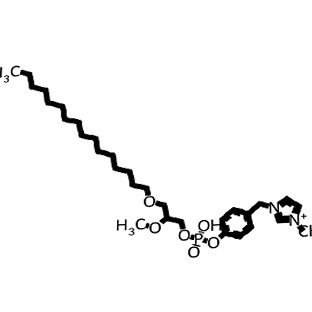 CCCCCCCCCCCCCCCCOCC(COP(=O)(O)Oc1ccc(Cn2cc[n+](C)c2)cc1)OC